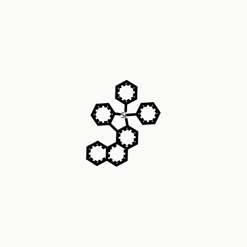 c1ccc([Si]2(c3ccccc3)c3ccccc3-c3c2ccc2ccc4ccccc4c32)cc1